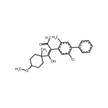 COC1CCC(C)(/C(O)=C(\C(C)=O)c2cc(Cl)c(-c3ccccc3)cc2C)CC1